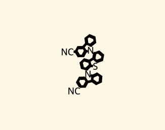 N#Cc1ccc2c(c1)c1ccccc1n2-c1cccc2c1sc1cccc(-n3c4ccccc4c4cc(C#N)ccc43)c12